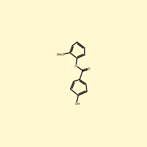 COc1ccccc1OC(=O)c1ccc(O)cc1